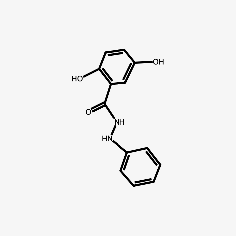 O=C(NNc1ccccc1)c1cc(O)ccc1O